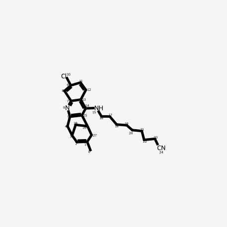 CC1=CC2Cc3nc4cc(Cl)ccc4c(NCCCCCCCCC#N)c3C(C1)C2